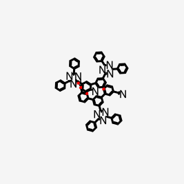 N#Cc1cccc(-c2cc(-c3nc(-c4ccccc4)nc(-c4ccccc4)n3)cc(-c3cccc(C#N)c3)c2-n2c3ccc(-c4nc(-c5ccccc5)nc(-c5ccccc5)n4)cc3c3cc(-c4nc(-c5ccccc5)nc(-c5ccccc5)n4)ccc32)c1